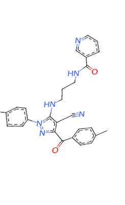 Cc1ccc(C(=O)c2nn(-c3ccc(Cl)cc3)c(NCCCNC(=O)c3cccnc3)c2C#N)cc1